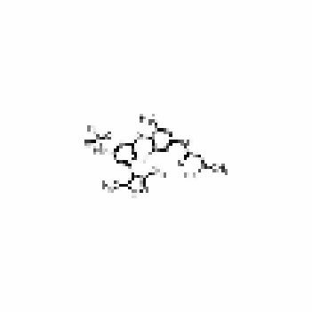 CCS(=O)(=O)Nc1cc(Oc2c(C)cc(NC(=O)CN(C)C)cc2C)cc(-c2c(C)noc2C)c1